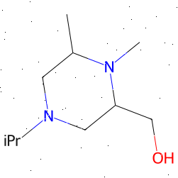 CC(C)N1CC(C)N(C)C(CO)C1